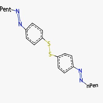 CCCCCN=Nc1ccc(SSc2ccc(N=NCCCCC)cc2)cc1